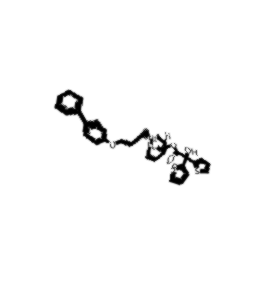 O=C(O[C@H]1C[N+]2(CCCOc3ccc(-c4ccccc4)cc3)CCC1CC2)C(O)(c1cccs1)c1cccs1